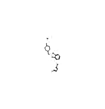 O=C(Nc1cccc2c1C(=O)N(CC1CCC(CNC(=O)C(F)(F)F)CC1)C2O)c1ccc(Cl)s1